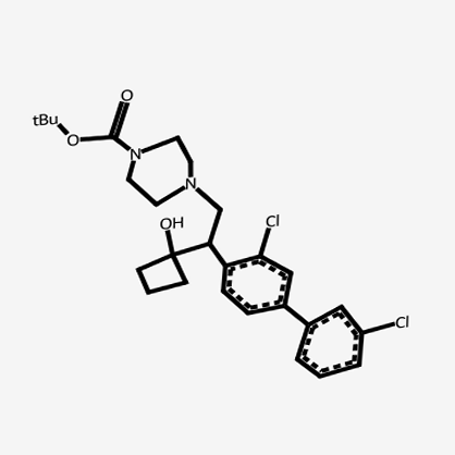 CC(C)(C)OC(=O)N1CCN(CC(c2ccc(-c3cccc(Cl)c3)cc2Cl)C2(O)CCC2)CC1